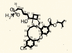 CC(C)COC(=O)c1ccc2c(c1)N(C[C@@H]1CC[C@@]1(C)[C@@H](O)/C=C/C[C@@H](C)S(N)(=O)=O)CCCCc1cc(Cl)ccc1CO2